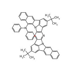 CC(C)(C)c1cc2c3cc4ccccc4cc3n3c4nc5c6cc(C(C)(C)C)cc7c8cc9ccccc9c(N(c9ccccc9)c9ccccc9)c8n(c5cc4c(c1)c23)c76